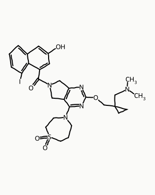 CN(C)CC1(COc2nc3c(c(N4CCCS(=O)(=O)CC4)n2)CN(C(=O)c2cc(O)cc4cccc(I)c24)C3)CC1